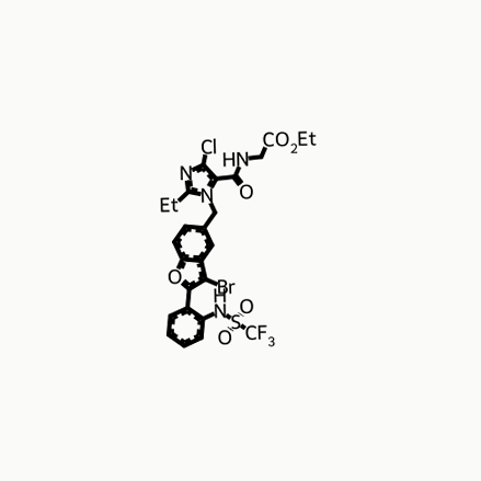 CCOC(=O)CNC(=O)c1c(Cl)nc(CC)n1Cc1ccc2oc(-c3ccccc3NS(=O)(=O)C(F)(F)F)c(Br)c2c1